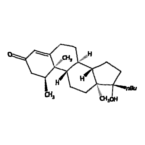 CCCC[C@]1(O)CC[C@H]2[C@@H]3CCC4=CC(=O)C[C@H](C)[C@]4(C)[C@H]3CC[C@@]21C